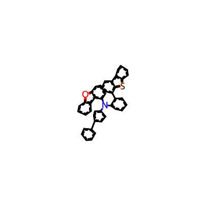 c1ccc(-c2ccc(N(c3ccccc3-c3cccc4c3sc3ccccc34)c3cccc4oc5ccccc5c34)cc2)cc1